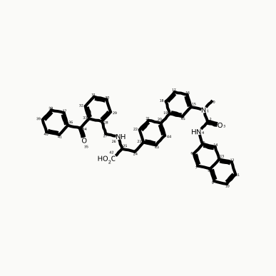 CN(C(=O)Nc1ccc2ccccc2c1)c1cccc(-c2ccc(CC(NCc3ccccc3C(=O)c3ccccc3)C(=O)O)cc2)c1